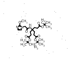 COc1nccn1CC(=O)NC(CCC(=O)OC(C)(C)C)(CCC(=O)OC(C)(C)C)CCC(=O)OC(C)(C)C